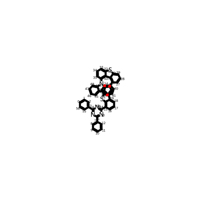 c1ccc(-c2nc(-c3ccccc3)nc(-c3cccc4c3sc3ccc(-c5cccc6sc7cccc(-n8c9ccccc9c9ccccc98)c7c56)cc34)n2)cc1